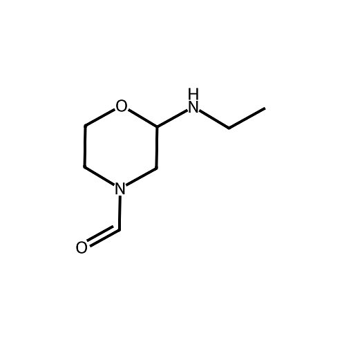 CCNC1CN(C=O)CCO1